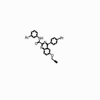 C#CCOc1ccc2nc(C(=O)Nc3cccc(C(C)=O)c3)nc(-c3ccc(C(C)C)cc3)c2c1